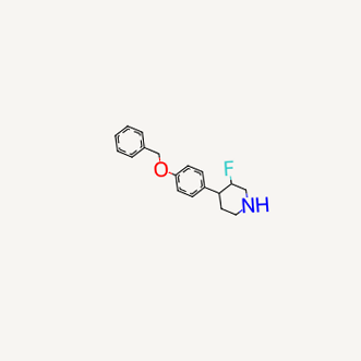 FC1CNCCC1c1ccc(OCc2ccccc2)cc1